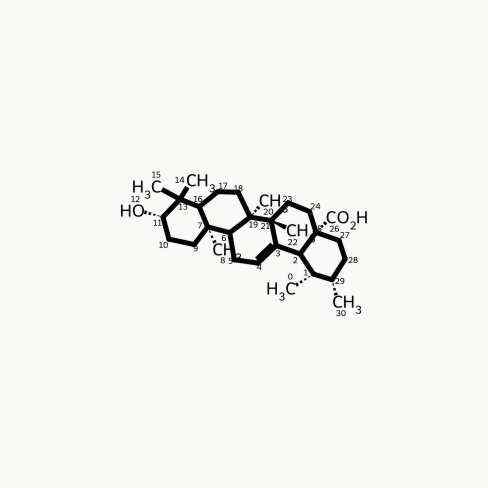 C[C@@H]1C2C3=CCC4[C@@]5(C)CC[C@H](O)C(C)(C)C5CC[C@@]4(C)[C@]3(C)CC[C@@]2(C(=O)O)CC[C@@H]1C